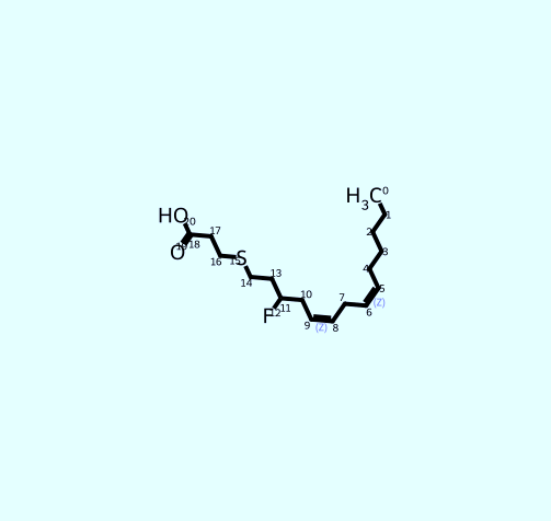 CCCCC/C=C\C/C=C\CC(F)CCSCCC(=O)O